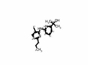 CCCc1ncc(I)c(Nc2cccc(C(C)(C)O)n2)n1